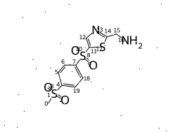 CS(=O)(=O)c1ccc(S(=O)(=O)c2cnc(CN)s2)cc1